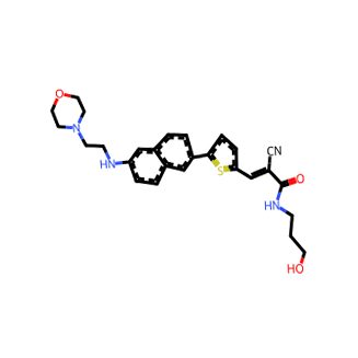 N#C/C(=C\c1ccc(-c2ccc3cc(NCCN4CCOCC4)ccc3c2)s1)C(=O)NCCCO